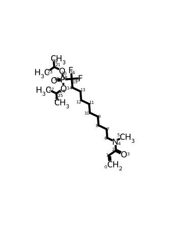 C=CC(=O)N(C)CCCCCCCCCC(F)(F)P(=O)(OC(C)C)OC(C)C